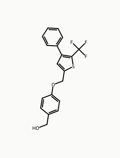 OCc1ccc(OCc2cc(-c3ccccc3)c(C(F)(F)F)s2)cc1